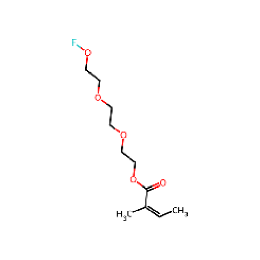 CC=C(C)C(=O)OCCOCCOCCOF